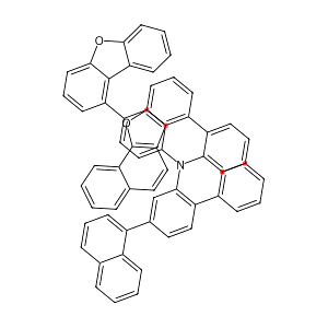 c1ccc(-c2ccc(-c3cccc4ccccc34)cc2N(c2ccc(-c3cccc4oc5ccccc5c34)cc2)c2ccccc2-c2cccc3oc4c5ccccc5ccc4c23)cc1